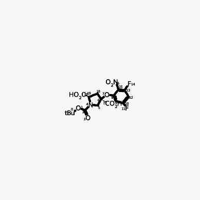 CC(C)(C)OC(=O)N1C[C@@](Oc2cc(F)cc(F)c2[N+](=O)[O-])(C(=O)O)C[C@H]1C(=O)O